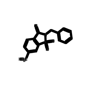 O=C(O)c1ccc2c(c1)S(=O)(=O)N(Cc1ccccc1)C2=O